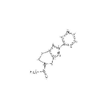 O=C(NC(F)(F)F)N1CCc2nn(-c3cccnc3)cc2C1